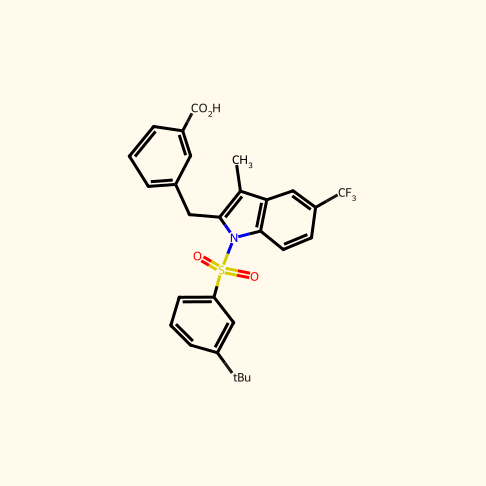 Cc1c(Cc2cccc(C(=O)O)c2)n(S(=O)(=O)c2cccc(C(C)(C)C)c2)c2ccc(C(F)(F)F)cc12